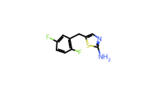 Nc1ncc(Cc2cc(F)ccc2F)s1